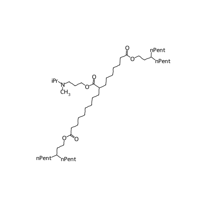 CCCCCC(CCCCC)CCOC(=O)CCCCCCCCC(CCCCCCC(=O)OCCC(CCCCC)CCCCC)C(=O)OCCCN(C)C(C)C